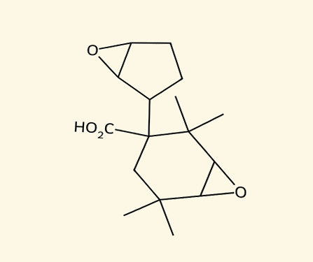 CC1(C)CC(C(=O)O)(C2CCC3OC32)C(C)(C)C2OC21